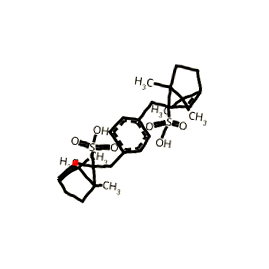 CC1(C)C2=CC(Cc3ccc(CC4(S(=O)(=O)O)C=C5CCC4(C)C5(C)C)cc3)(S(=O)(=O)O)C1(C)CC2